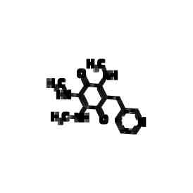 CNC1=C(Cc2cccnc2)C(=O)C(NC)=C(NC)C1=O